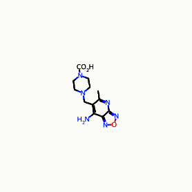 Cc1nc2nonc2c(N)c1CN1CCN(C(=O)O)CC1